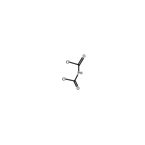 O=C(Cl)PC(=O)Cl